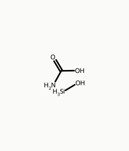 NC(=O)O.O[SiH3]